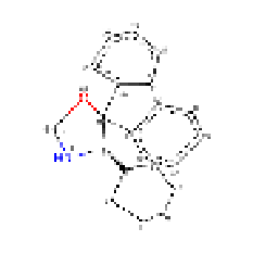 B1N[C@H](C2CCCCC2)C(c2ccccc2)(c2ccccc2)O1